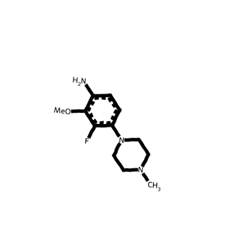 COc1c(N)ccc(N2CCN(C)CC2)c1F